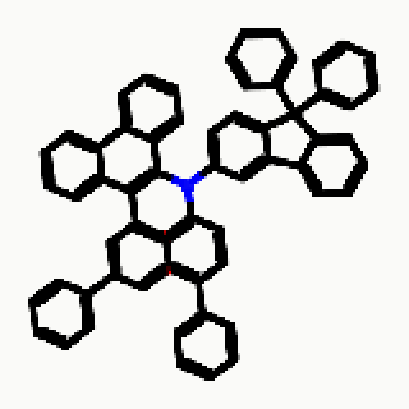 c1ccc(-c2ccc(N(c3ccc4c(c3)-c3ccccc3C4(c3ccccc3)c3ccccc3)c3c(-c4cccc(-c5ccccc5)c4)c4ccccc4c4ccccc34)cc2)cc1